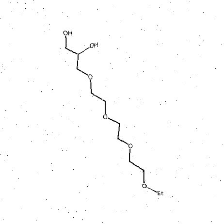 CCOCCOCCOCCOCC(O)CO